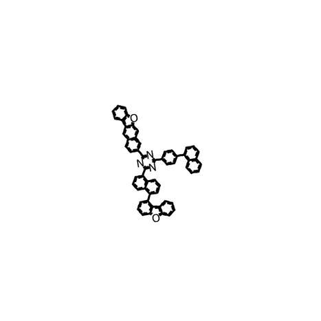 c1ccc2c(-c3ccc(-c4nc(-c5ccc6cc7c(cc6c5)oc5ccccc57)nc(-c5cccc6c(-c7cccc8oc9ccccc9c78)cccc56)n4)cc3)cccc2c1